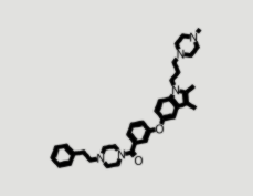 Cc1c(C)n(CCCN2CCN(C)CC2)c2ccc(Oc3cccc(C(=O)N4CCN(CCc5ccccc5)CC4)c3)cc12